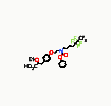 CCOC(Cc1ccc(OCCN(CCCCC(F)(F)C(F)(F)C(F)(F)F)C(=O)Oc2ccccc2)cc1)C(=O)O